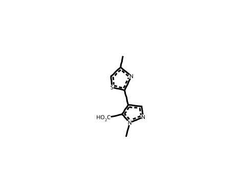 Cc1csc(-c2cnn(C)c2C(=O)O)n1